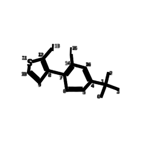 CC(C)(C)c1ccc(-c2ccsc2I)c(I)c1